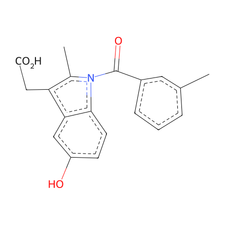 Cc1cccc(C(=O)n2c(C)c(CC(=O)O)c3cc(O)ccc32)c1